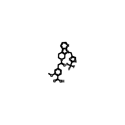 COc1cc(CC(=O)N2CCc3c(n(Cc4cnc(C(F)(F)F)s4)c4ncccc34)C2)ccc1C(=O)O